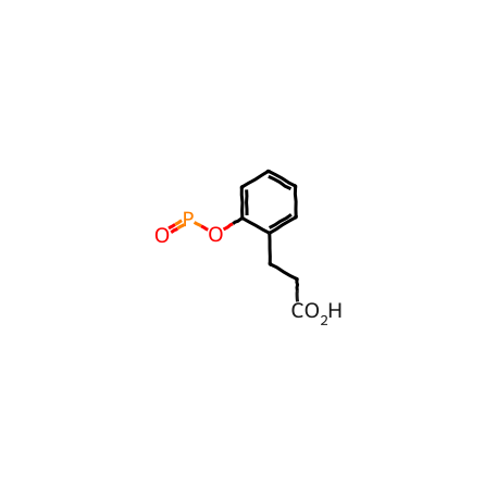 O=POc1ccccc1CCC(=O)O